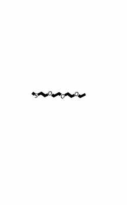 CCOCCOCCOCCSC